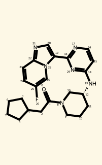 O=C(CC1CCCC1)N1CCC[C@@H](Nc2ccnc(-c3cnc4ccc(F)cn34)n2)C1